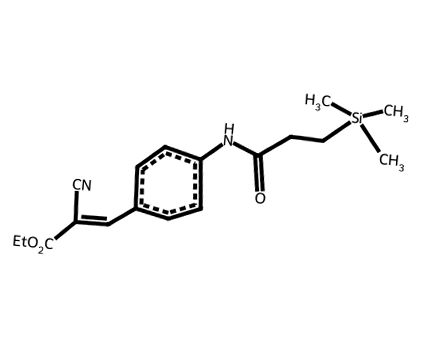 CCOC(=O)C(C#N)=Cc1ccc(NC(=O)CC[Si](C)(C)C)cc1